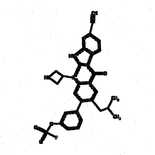 C#Cc1ccc2c(c1)[nH]c1c2c(=O)c2cc(CC(C)C)c(-c3cccc(OS(=O)(=O)F)c3)cc2n1C1CNC1